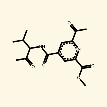 COC(=O)c1cc(C(=O)NC(C(C)=O)C(C)C)cc(C(C)=O)n1